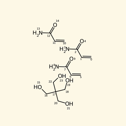 C=CC(N)=O.C=CC(N)=O.C=CC(N)=O.OCC(CO)(CO)CO